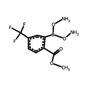 COC(=O)c1ccc(C(F)(F)F)cc1B(ON)ON